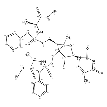 Cc1cn([C@@H]2OC3(C)[C@H](COP(=O)(N[C@@H](C)C(=O)OC(C)C)Oc4ccccc4)C3(COP(=O)(N[C@@H](C)C(=O)OC(C)C)Oc3ccccc3)C2F)c(=O)[nH]c1=O